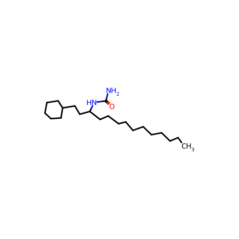 CCCCCCCCCCCC(CCC1CCCCC1)NC(N)=O